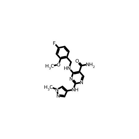 COc1cc(F)ccc1CNc1nc(Nc2cnn(C)c2)ncc1C(N)=O